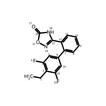 CCc1c(F)cc(-c2ccccc2-c2noc(=O)[nH]2)cc1F